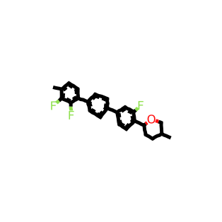 Cc1ccc(-c2ccc(-c3ccc(C4CCC(C)CO4)c(F)c3)cc2)c(F)c1F